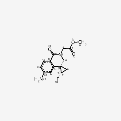 COC(=O)CN1C[C@@]2(C[C@@H]2F)c2cc(N)ccc2C1=O